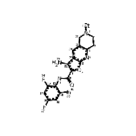 CCN1CCc2nc3oc(C(=O)Nc4c(F)cc(F)cc4Br)c(N)c3cc2C1